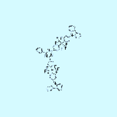 FC(F)(F)C(c1ccc(-c2nc(-c3ccccc3)nc(-c3ccc(C(c4ccc(-n5c6ccccc6c6ccccc65)cc4)(C(F)(F)F)C(F)(F)F)cc3)n2)cc1)(c1ccc(-n2c3ccccc3c3ccccc32)cc1)C(F)(F)F